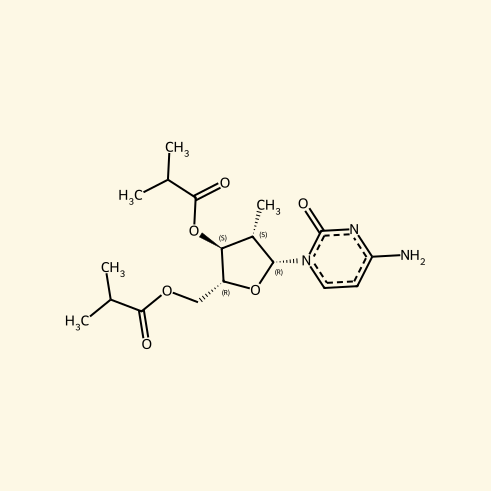 CC(C)C(=O)OC[C@H]1O[C@@H](n2ccc(N)nc2=O)[C@@H](C)[C@@H]1OC(=O)C(C)C